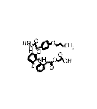 CCCCOc1ccc(CC(=O)NO)cc1.O=C(O)COC(=O)Cc1ccccc1Nc1c(Cl)cccc1Cl